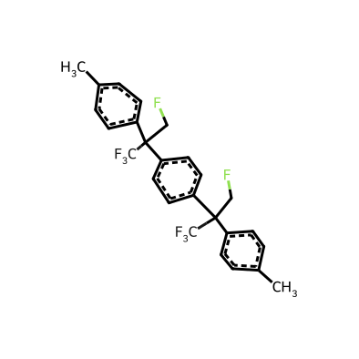 Cc1ccc(C(CF)(c2ccc(C(CF)(c3ccc(C)cc3)C(F)(F)F)cc2)C(F)(F)F)cc1